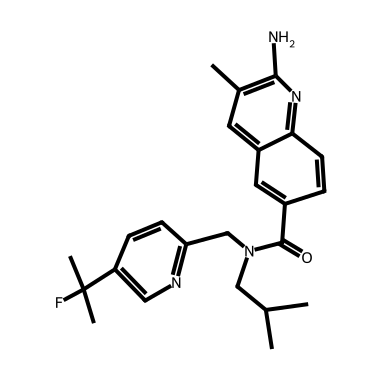 Cc1cc2cc(C(=O)N(Cc3ccc(C(C)(C)F)cn3)CC(C)C)ccc2nc1N